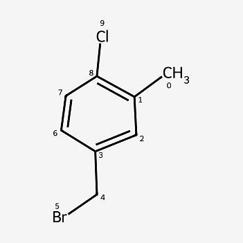 Cc1cc(CBr)ccc1Cl